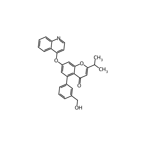 CC(C)c1cc(=O)c2c(-c3cccc(CO)c3)cc(Oc3ccnc4ccccc34)cc2o1